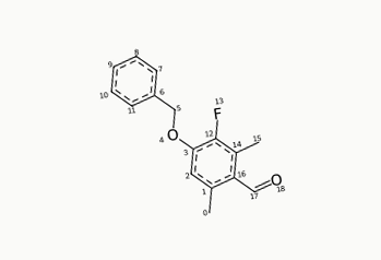 Cc1cc(OCc2ccccc2)c(F)c(C)c1C=O